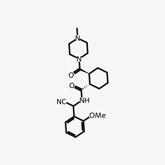 COc1ccccc1C(C#N)NC(=O)[C@H]1CCCC[C@@H]1C(=O)N1CCN(C)CC1